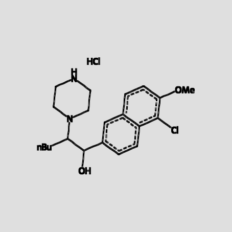 CCCCC(C(O)c1ccc2c(Cl)c(OC)ccc2c1)N1CCNCC1.Cl